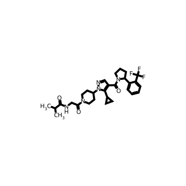 CC(C)C(=O)NCC(=O)N1CCC(n2ncc(C(=O)N3CCCC3c3ccccc3C(F)(F)F)c2C2CC2)CC1